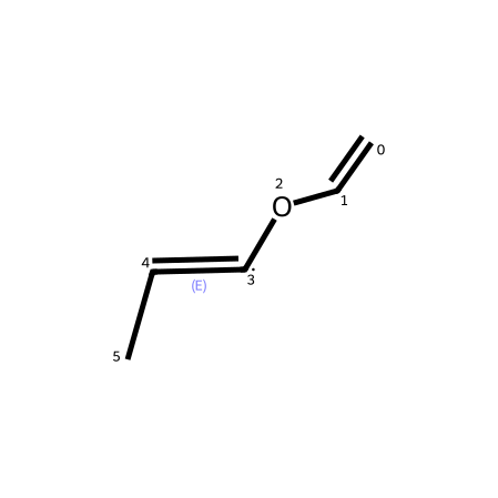 C=CO/[C]=C/C